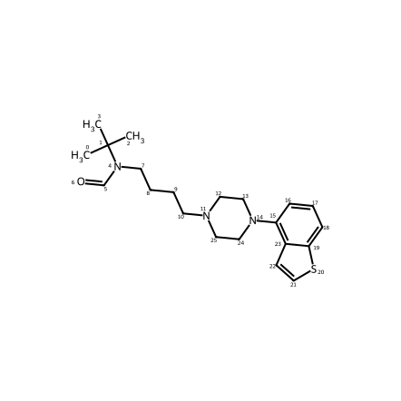 CC(C)(C)N(C=O)CCCCN1CCN(c2cccc3sccc23)CC1